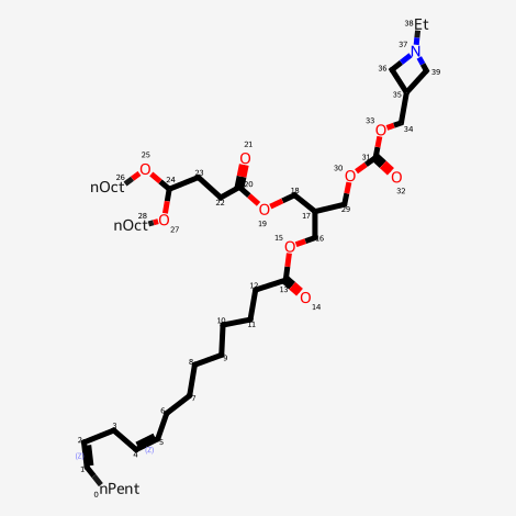 CCCCC/C=C\C/C=C\CCCCCCCC(=O)OCC(COC(=O)CCC(OCCCCCCCC)OCCCCCCCC)COC(=O)OCC1CN(CC)C1